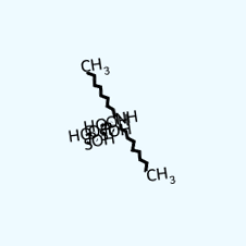 CCCCCCCCCCNCCCCCCCCCC.OP(O)(O)=S.OP(O)(O)=S